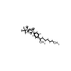 CCCCCCC(C)c1ccc(S(=O)(=O)NS(=O)(=O)C(F)(F)F)cc1